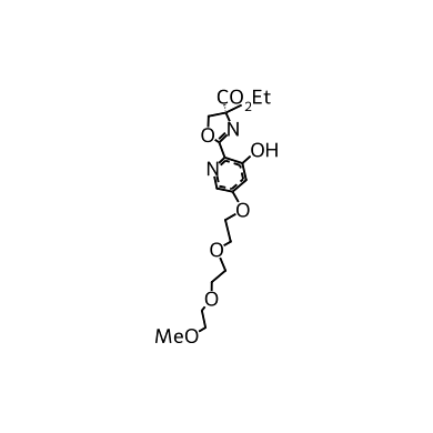 CCOC(=O)[C@@]1(C)COC(c2ncc(OCCOCCOCCOC)cc2O)=N1